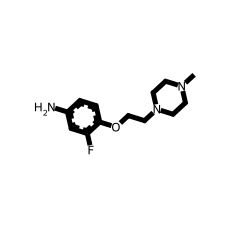 CN1CCN(CCOc2ccc(N)cc2F)CC1